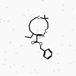 CCC1CCCCCC(C)(C)CCC/N=C\1C(=O)OCc1ccccc1